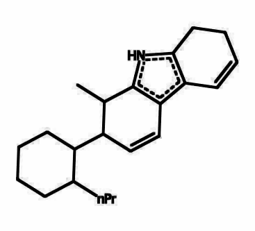 CCCC1CCCCC1C1C=Cc2c([nH]c3c2C=CCC3)C1C